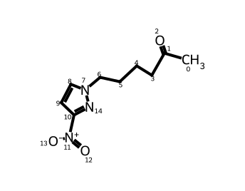 CC(=O)CCCCn1ccc([N+](=O)[O-])n1